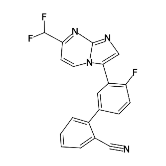 N#Cc1ccccc1-c1ccc(F)c(-c2cnc3nc(C(F)F)ccn23)c1